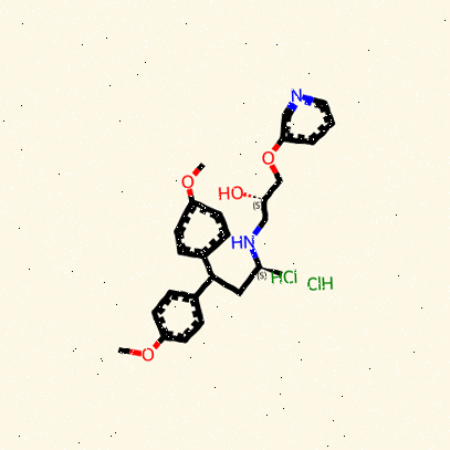 COc1ccc(C(C[C@H](C)NC[C@H](O)COc2cccnc2)c2ccc(OC)cc2)cc1.Cl.Cl